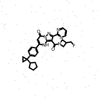 O=C(c1c(-c2ncccn2)nn2c(=O)cc(-c3ccc(C4(C5CCCC5)CC4)cc3)[nH]c12)N1CC(CF)C1